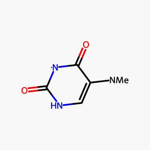 CNC1=CNC(=O)[N]C1=O